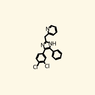 Clc1ccc(-c2nc(Cc3ccccn3)[nH]c2-c2ccccc2)cc1Cl